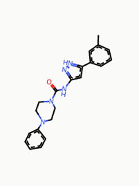 Cc1cccc(-c2cc(NC(=O)N3CCN(c4ccccc4)CC3)n[nH]2)c1